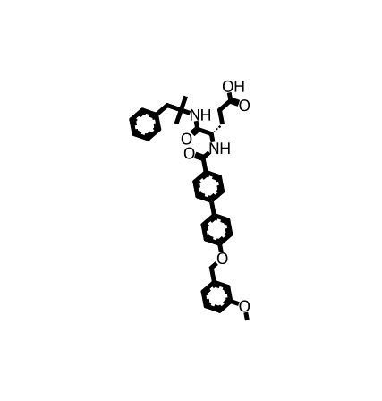 COc1cccc(COc2ccc(-c3ccc(C(=O)N[C@@H](CCC(=O)O)C(=O)NC(C)(C)Cc4ccccc4)cc3)cc2)c1